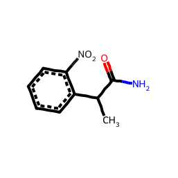 CC(C(N)=O)c1ccccc1[N+](=O)[O-]